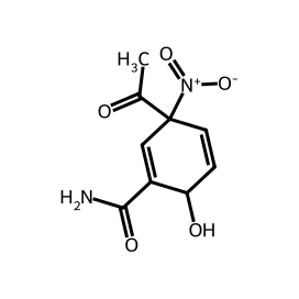 CC(=O)C1([N+](=O)[O-])C=CC(O)C(C(N)=O)=C1